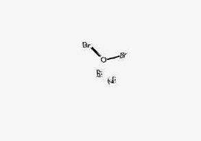 BrOBr.[B].[N]